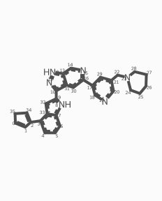 C1=CC(c2cccc3[nH]c(-c4n[nH]c5cnc(-c6cncc(CN7CCCCC7)c6)cc45)cc23)=CC1